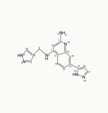 Nc1cc(NCc2cn[nH]c2)c2ccc(-c3ccn[nH]3)cc2n1